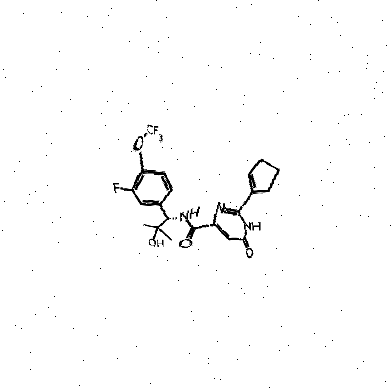 CC(C)(O)[C@@H](NC(=O)c1cc(=O)[nH]c(C2=CCCC2)n1)c1ccc(OC(F)(F)F)c(F)c1